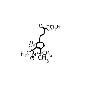 CC1(C)c2ccc(CCC(=O)C(=O)O)cc2C(C)(C)[N+]1=O